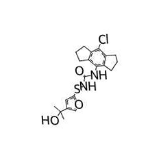 CC(C)(O)c1coc(SNC(=O)Nc2c3c(c(Cl)c4c2CCC4)CCC3)c1